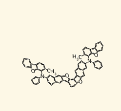 Cc1ccc2c(oc3ccccc32)c1N(c1ccccc1)c1ccc2cc3c(cc2c1)oc1c3ccc2oc3cc4cc(N(c5ccccc5)c5c(C)ccc6c5oc5ccccc56)ccc4cc3c21